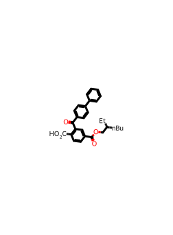 CCCCC(CC)COC(=O)c1ccc(C(=O)O)c(C(=O)c2ccc(-c3ccccc3)cc2)c1